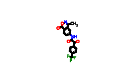 Cc1noc(=O)c2ccc(NC(=O)C(=O)c3ccc(C(F)(F)F)cc3)cc12